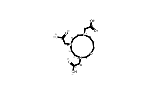 O=C(O)CN1CCCOCN(CC(=O)O)CCN(CC(=O)O)CC1